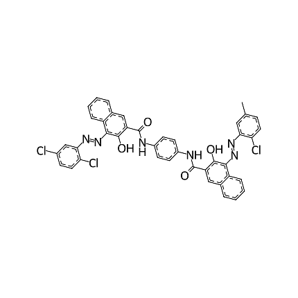 Cc1ccc(Cl)c(/N=N/c2c(O)c(C(=O)Nc3ccc(NC(=O)c4cc5ccccc5c(/N=N/c5cc(Cl)ccc5Cl)c4O)cc3)cc3ccccc23)c1